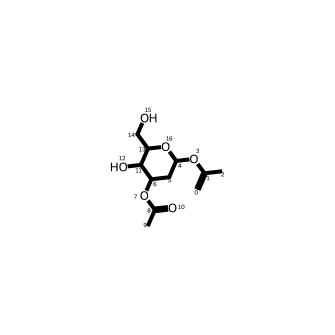 C=C(C)OC1CC(OC(C)=O)C(O)C(CO)O1